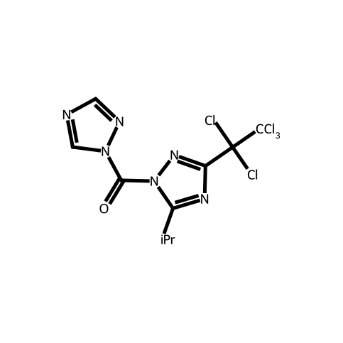 CC(C)c1nc(C(Cl)(Cl)C(Cl)(Cl)Cl)nn1C(=O)n1cncn1